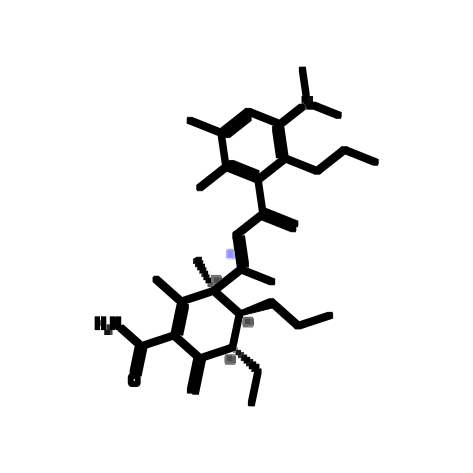 C=C(/C=C(\C)[C@]1(C)C(C)=C(C(N)=O)C(=C)[C@@H](CC)[C@@H]1CCC)c1c(C)c(C)cc(N(C)C)c1CCC